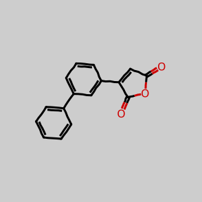 O=C1C=C(c2cccc(-c3ccccc3)c2)C(=O)O1